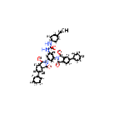 C#Cc1ccc(NC(=O)Nc2cc(N3C(=O)c4ccc(-c5ccccc5)cc4C3=O)cc(N3C(=O)c4ccc(-c5ccccc5)cc4C3=O)c2)cc1